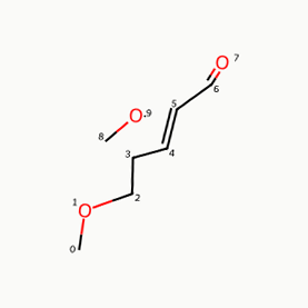 COCCC=CC=O.C[O]